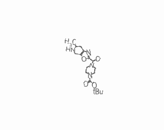 CC1Cc2nc(C(=O)N3CCN(C(=O)OC(C)(C)C)CC3)oc2CN1